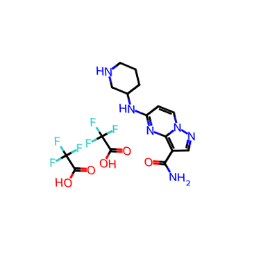 NC(=O)c1cnn2ccc(NC3CCCNC3)nc12.O=C(O)C(F)(F)F.O=C(O)C(F)(F)F